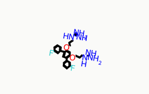 N=C(N)NCCCOc1cc(OCCCNC(=N)N)c(-c2cccc(F)c2)cc1-c1cccc(F)c1